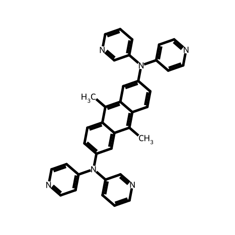 Cc1c2ccc(N(c3ccncc3)c3cccnc3)cc2c(C)c2ccc(N(c3ccncc3)c3cccnc3)cc12